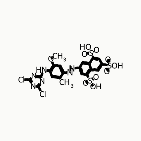 COc1cc(/N=N/c2cc(S(=O)(=O)O)c3cc(S(=O)(=O)O)cc(S(=O)(=O)O)c3c2)c(C)cc1Nc1nc(Cl)nc(Cl)n1